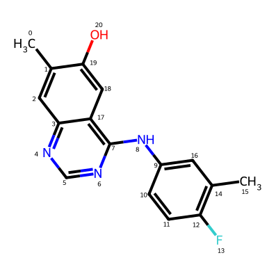 Cc1cc2ncnc(Nc3ccc(F)c(C)c3)c2cc1O